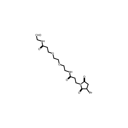 CC(C)C1CC(=O)N(CCC(=O)NCCOCCOCCC(=O)NCC=O)C1=O